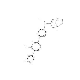 COc1nc(-c2ccc(N(C)C3C[C@H]4CC[C@@H](C3)N4)nn2)ccc1-c1cnn(C)c1